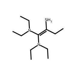 CCC([SiH3])=C(N(CC)CC)N(CC)CC